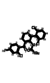 CC(C)(C)C(=O)Nc1c(C(=O)c2ccc(F)cc2Cl)ccnc1-c1c(Cl)cccc1Cl